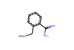 CCCCCCc1ccccc1C(=N)N